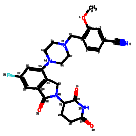 COc1cc(C#N)ccc1CN1CCN(c2cc(F)cc3c2CN(C2CCC(=O)NC2=O)C3=O)CC1